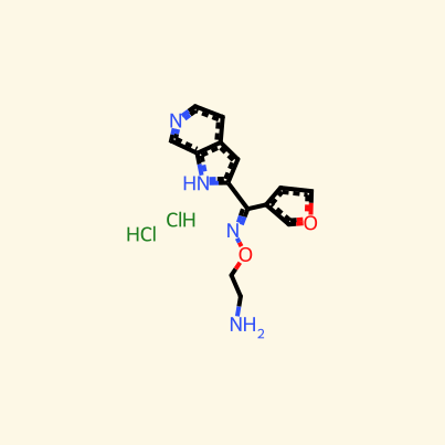 Cl.Cl.NCCO/N=C(\c1ccoc1)c1cc2ccncc2[nH]1